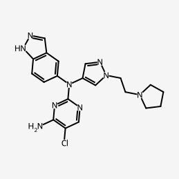 Nc1nc(N(c2ccc3[nH]ncc3c2)c2cnn(CCN3CCCC3)c2)ncc1Cl